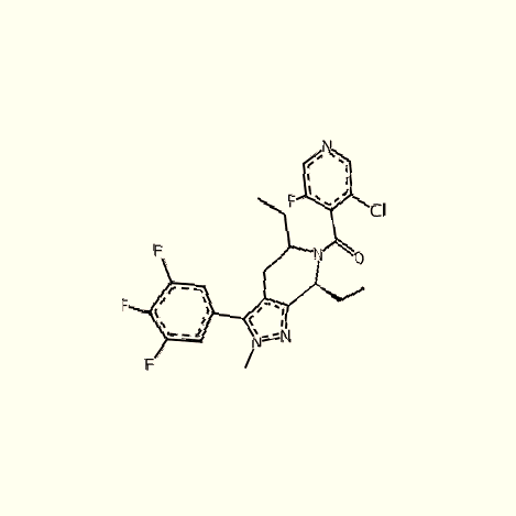 CCC1Cc2c(nn(C)c2-c2cc(F)c(F)c(F)c2)[C@H](CC)N1C(=O)c1c(F)cncc1Cl